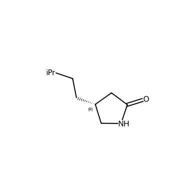 CC(C)CC[C@H]1CNC(=O)C1